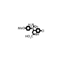 COc1ccc(N(C(N)=O)C2CC(C(=O)O)Nc3cc(Cl)cc(Cl)c32)cc1